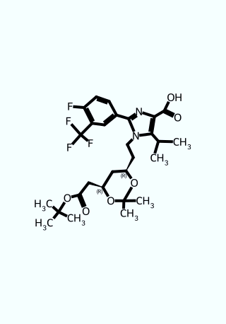 CC(C)c1c(C(=O)O)nc(-c2ccc(F)c(C(F)(F)F)c2)n1CC[C@@H]1C[C@H](CC(=O)OC(C)(C)C)OC(C)(C)O1